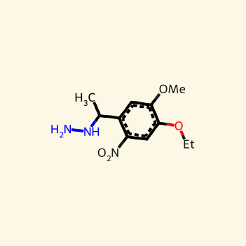 CCOc1cc([N+](=O)[O-])c(C(C)NN)cc1OC